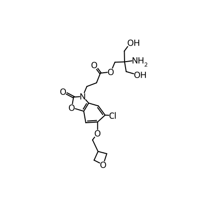 NC(CO)(CO)COC(=O)CCn1c(=O)oc2cc(OCC3COC3)c(Cl)cc21